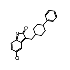 O=C1N=c2ccc(Cl)cc2=C1CC1CCC(c2ccccc2)CC1